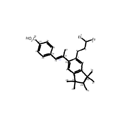 CCC(CC)CCc1cc2c(cc1/C(C)=C/c1ccc(C(=O)O)cc1)C(C)(C)C(C)C2(C)C